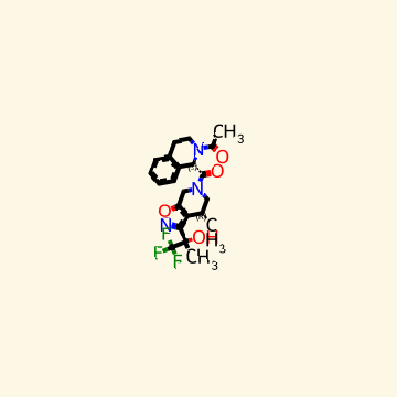 CC(=O)N1CCc2ccccc2[C@H]1C(=O)N1Cc2onc(C(C)(O)C(F)(F)F)c2[C@@H](C)C1